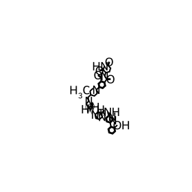 CC1CN(c2ccc3c(c2)C(=O)N(C2CCC(=O)NC2=O)C3=O)CCC1CN1C[C@@H]2[C@H](C1)[C@H]2CN1CCN2c3cc(-c4ccccc4O)nnc3NC[C@H]2C1